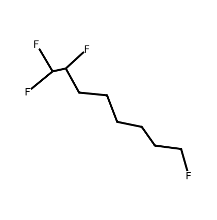 FCCCCCCC(F)C(F)F